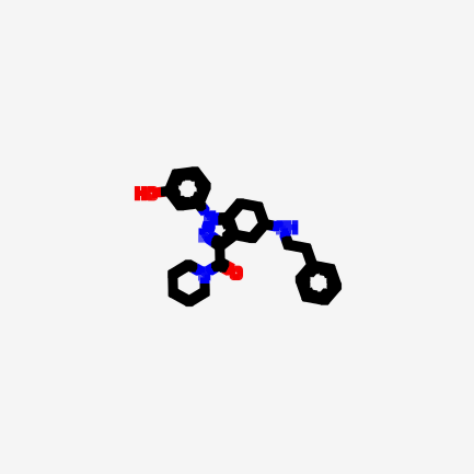 O=C(c1nn(-c2cccc(O)c2)c2c1CC(NCCc1ccccc1)CC2)N1CCCCC1